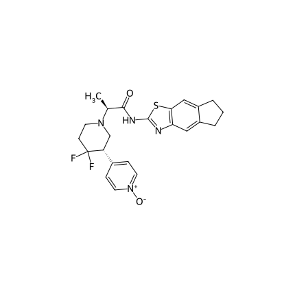 C[C@@H](C(=O)Nc1nc2cc3c(cc2s1)CCC3)N1CCC(F)(F)[C@@H](c2cc[n+]([O-])cc2)C1